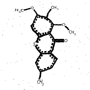 COc1cc2sc3cc(C)ccc3c(=O)c2c(OC)c1C